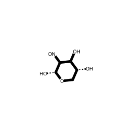 O=NC1C(O)[C@H](O)CO[C@@H]1O